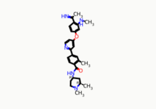 CNc1cc(Oc2ccnc(-c3ccc(C(=O)N[C@@H]4CCN(C)[C@H](C)C4)c(C)c3)c2)ccc1C(C)=N